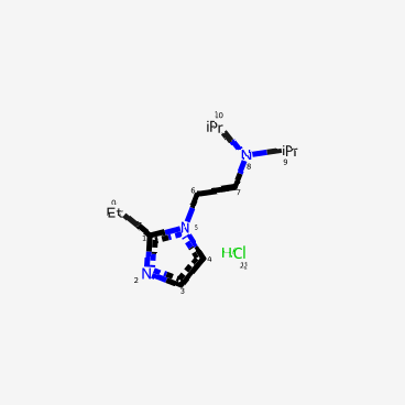 CCc1nccn1CCN(C(C)C)C(C)C.Cl